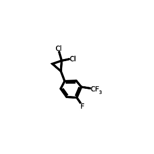 Fc1ccc(C2CC2(Cl)Cl)cc1C(F)(F)F